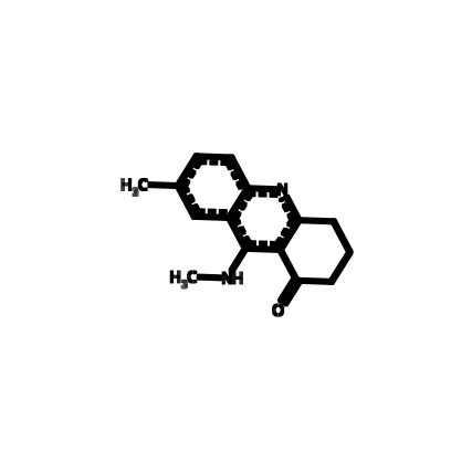 CNc1c2c(nc3ccc(C)cc13)CCCC2=O